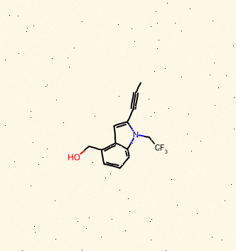 CC#Cc1cc2c(CO)cccc2n1CC(F)(F)F